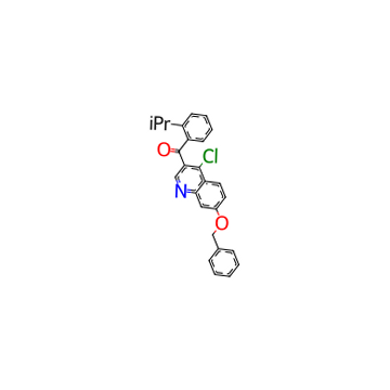 CC(C)c1ccccc1C(=O)c1cnc2cc(OCc3ccccc3)ccc2c1Cl